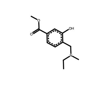 CCN(C)Cc1ccc(C(=O)OC)cc1O